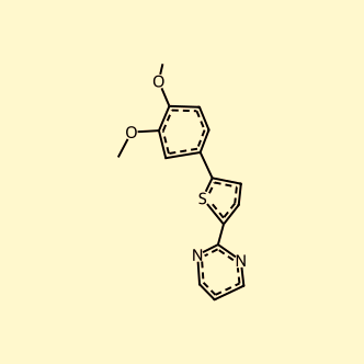 COc1ccc(-c2ccc(-c3ncccn3)s2)cc1OC